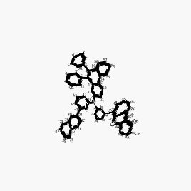 c1ccc(-c2c(-c3ccccc3)c3cc(N(c4cccc(-c5ccc6ccccc6c5)c4)c4cccc(-c5cccc6c5oc5ccccc56)c4)ccc3c3ccccc23)cc1